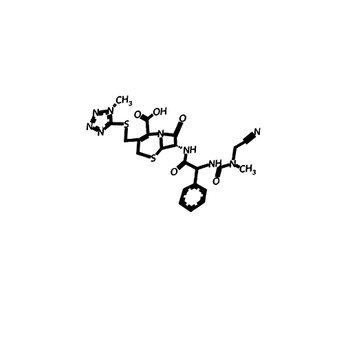 CN(CC#N)C(=O)NC(C(=O)N[C@H]1C(=O)N2C(C(=O)O)=C(CSc3nnnn3C)CSC12)c1ccccc1